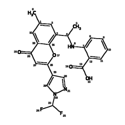 Cc1cc(C(C)Nc2ccccc2C(=O)O)c2oc(-c3cnn(C(F)F)c3)cc(=O)c2c1